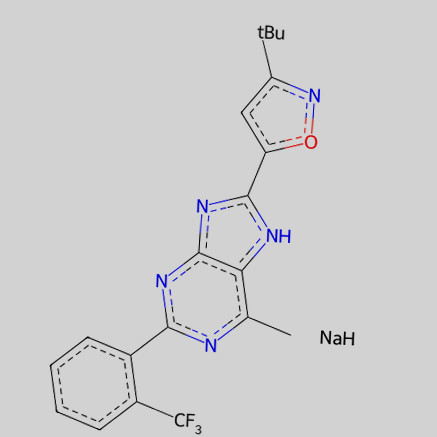 Cc1nc(-c2ccccc2C(F)(F)F)nc2nc(-c3cc(C(C)(C)C)no3)[nH]c12.[NaH]